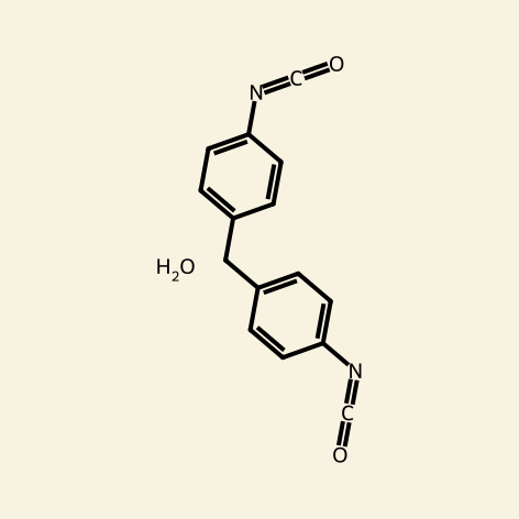 O.O=C=Nc1ccc(Cc2ccc(N=C=O)cc2)cc1